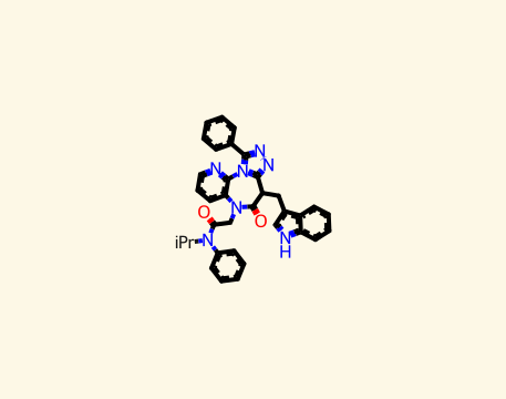 CC(C)N(C(=O)CN1C(=O)C(Cc2c[nH]c3ccccc23)c2nnc(-c3ccccc3)n2-c2ncccc21)c1ccccc1